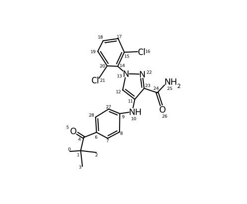 CC(C)(C)C(=O)c1ccc(Nc2cn(-c3c(Cl)cccc3Cl)nc2C(N)=O)cc1